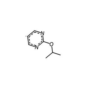 CC(C)Oc1nc[c]cn1